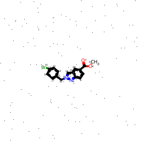 COC(=O)c1ccc2nn(Cc3ccc(Br)cc3)cc2c1